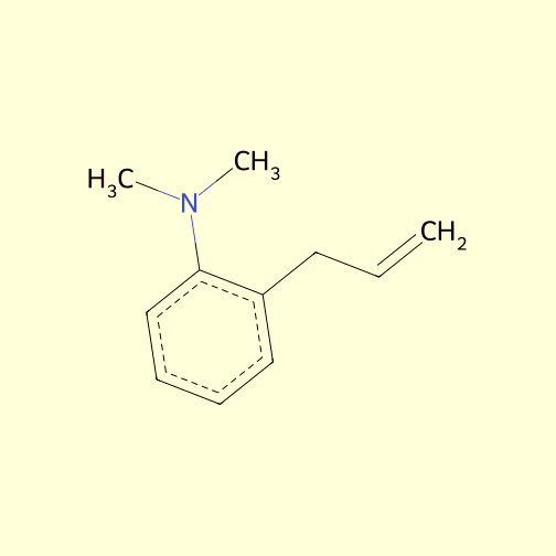 C=CCc1ccccc1N(C)C